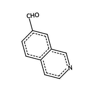 O=Cc1ccc2ccncc2c1